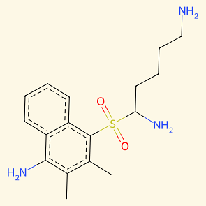 Cc1c(C)c(S(=O)(=O)C(N)CCCCN)c2ccccc2c1N